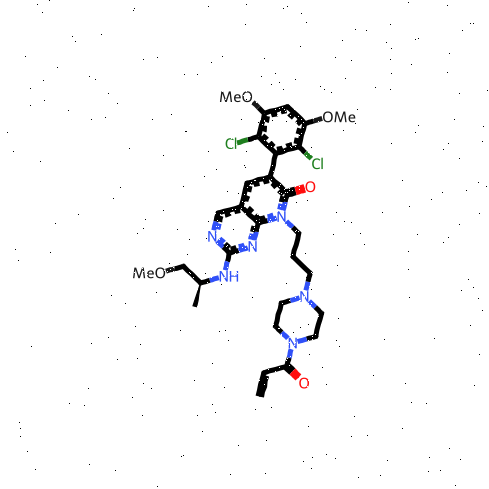 C=CC(=O)N1CCN(CCCn2c(=O)c(-c3c(Cl)c(OC)cc(OC)c3Cl)cc3cnc(N[C@@H](C)COC)nc32)CC1